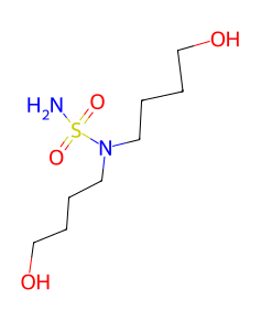 NS(=O)(=O)N(CCCCO)CCCCO